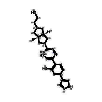 C=C(/N=N\C(=C/C)c1ccc(-c2cn[nH]c2)cc1O)N1C[C@H]2CN(CCO)C[C@H]2C1